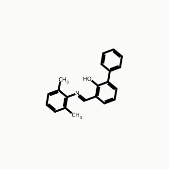 Cc1cccc(C)c1N=Cc1cccc(-c2ccccc2)c1O